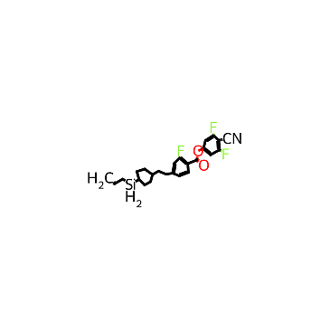 C=CC[SiH2]C1CCC(CCc2ccc(C(=O)Oc3cc(F)c(C#N)c(F)c3)c(F)c2)CC1